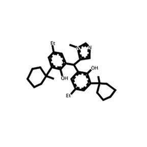 CCc1cc(C(c2cc(CC)cc(C3(C)CCCCC3)c2O)c2cncn2C)c(O)c(C2(C)CCCCC2)c1